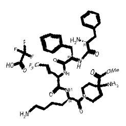 COC(=O)C1(N)CCN(C(=O)[C@@H](CCCCN)NC(=O)C(CCC(F)(F)F)NC(=O)[C@@H](Cc2ccccc2)NC(=O)[C@H](N)Cc2ccccc2)CC1.O=C(O)C(F)(F)F